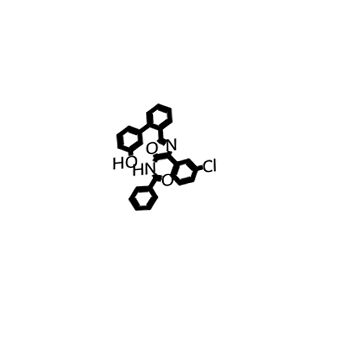 O=C(Nc1oc(-c2ccccc2-c2cccc(O)c2)nc1-c1cccc(Cl)c1)c1ccccc1